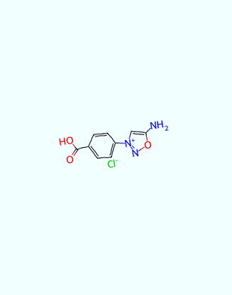 Nc1c[n+](-c2ccc(C(=O)O)cc2)no1.[Cl-]